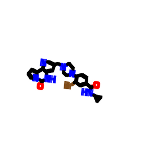 O=C(NC1CC1)c1ccc(N2CCN(Cc3cnc4c(c3)[nH]c(=O)n3cccc43)CC2)c(Br)c1